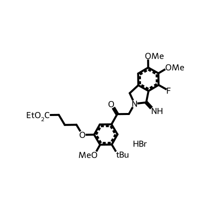 Br.CCOC(=O)CCCOc1cc(C(=O)CN2Cc3cc(OC)c(OC)c(F)c3C2=N)cc(C(C)(C)C)c1OC